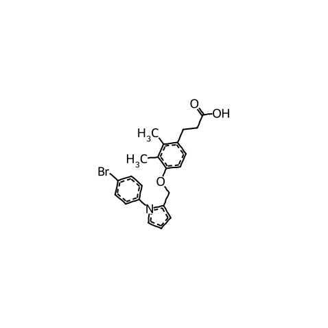 Cc1c(CCC(=O)O)ccc(OCc2cccn2-c2ccc(Br)cc2)c1C